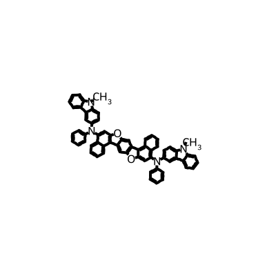 Cn1c2ccccc2c2cc(N(c3ccccc3)c3cc4oc5cc6c(cc5c4c4ccccc34)oc3cc(N(c4ccccc4)c4ccc5c(c4)c4ccccc4n5C)c4ccccc4c36)ccc21